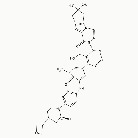 CC[C@H]1CN(C2COC2)CCN1c1ccc(Nc2cc(-c3ccnc(-n4ncn5c6c(cc5c4=O)CC(C)(C)C6)c3CO)cn(C)c2=O)nn1